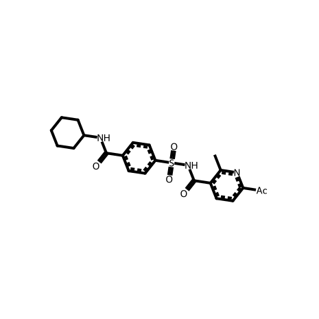 CC(=O)c1ccc(C(=O)NS(=O)(=O)c2ccc(C(=O)NC3CCCCC3)cc2)c(C)n1